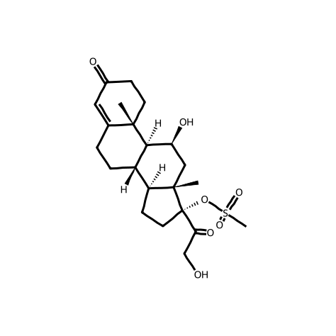 C[C@]12CCC(=O)C=C1CC[C@@H]1[C@@H]2[C@@H](O)C[C@@]2(C)[C@H]1CC[C@]2(OS(C)(=O)=O)C(=O)CO